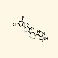 CCC(Nc1cc(F)cc(Cl)c1)C(=O)NC1CCCN(c2ncnc3[nH]ncc23)C1